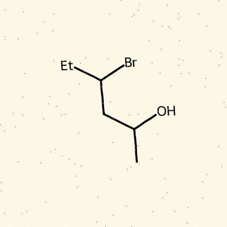 CCC(Br)CC(C)O